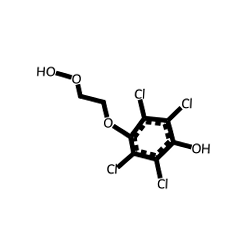 OOCCOc1c(Cl)c(Cl)c(O)c(Cl)c1Cl